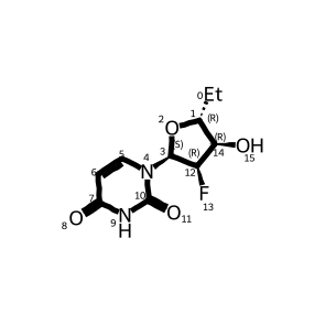 CC[C@H]1O[C@H](n2ccc(=O)[nH]c2=O)[C@H](F)[C@@H]1O